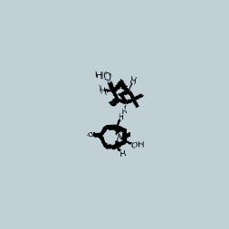 C=C1[C@H](O)C[C@@H]2C[C@H]1C2(C)C.CN1[C@@H]2CC(=O)C[C@H]1[C@H](O)C2